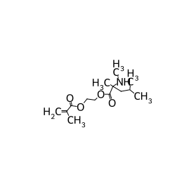 C=C(C)C(=O)OCCOC(=O)C(C)(CC(C)C)NC